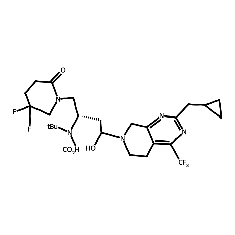 CC(C)(C)N(C(=O)O)[C@@H](CC(O)N1CCc2c(nc(CC3CC3)nc2C(F)(F)F)C1)CN1CC(F)(F)CCC1=O